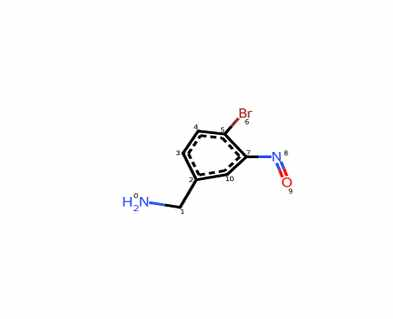 NCc1ccc(Br)c(N=O)c1